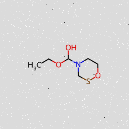 CCOC(O)N1CCOSC1